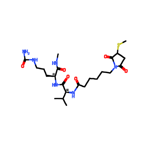 CNC(=O)[C@H](CCCNC(N)=O)NC(=O)[C@@H](NC(=O)CCCCCN1C(=O)CC(SC)C1=O)C(C)C